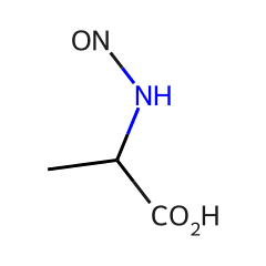 CC(NN=O)C(=O)O